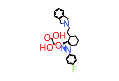 Fc1ccc(-n2ncc3c2CCCC3CCN2Cc3ccccc3C2)cc1.O=C(O)C(=O)O